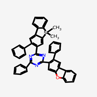 C[Si]1(C)c2ccccc2-c2cc(-c3ccccc3)c(-c3nc(-c4ccccc4)nc(-c4cc5oc6ccccc6c5cc4-c4ccccc4)n3)cc21